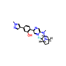 CN(c1cnc(-c2ccc(-c3cnn(C)c3)cc2O)cn1)[C@H]1C[C@@H]2CC[C@@H](N2)[C@H]1F